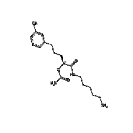 NCCCCCNC(=O)[C@H](CCCc1cccc(O)c1)OC(N)=O